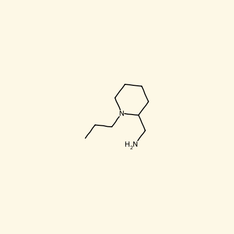 CCCN1CCCCC1CN